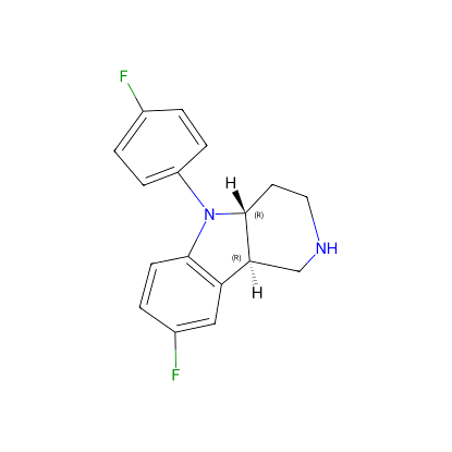 Fc1ccc(N2c3ccc(F)cc3[C@@H]3CNCC[C@H]32)cc1